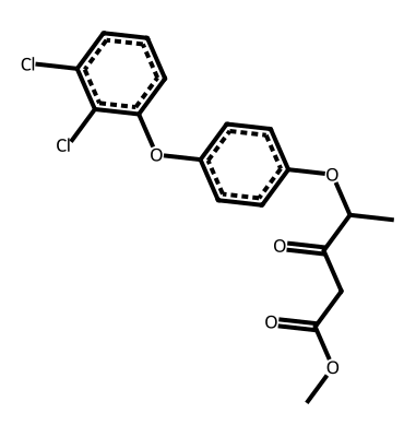 COC(=O)CC(=O)C(C)Oc1ccc(Oc2cccc(Cl)c2Cl)cc1